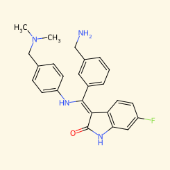 CN(C)Cc1ccc(N/C(=C2\C(=O)Nc3cc(F)ccc32)c2cccc(CN)c2)cc1